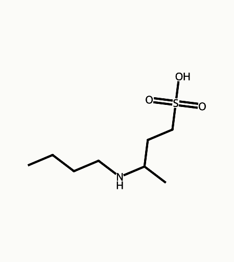 CCCCNC(C)CCS(=O)(=O)O